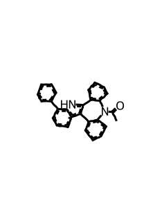 CC(=O)N1c2ccccc2-c2[nH]c3c(-c4ccccc4)cccc3c2-c2ccccc21